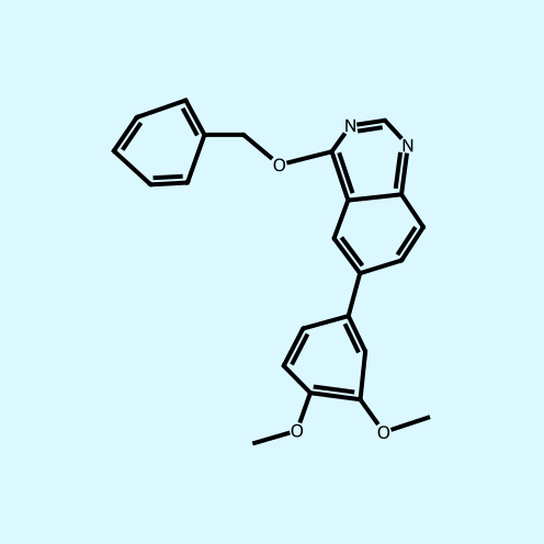 COc1ccc(-c2ccc3ncnc(OCc4ccccc4)c3c2)cc1OC